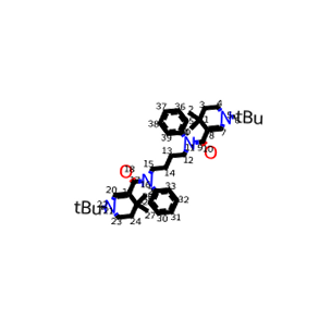 CC1(C)CCN(C(C)(C)C)C=C1C(=O)N(CCCCN(C(=O)C1=CN(C(C)(C)C)CCC1(C)C)c1ccccc1)c1ccccc1